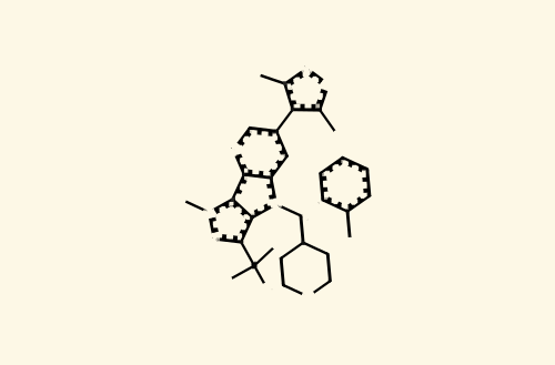 Cc1ccccc1[C@H](C1CCOCC1)n1c2cc(-c3c(C)noc3C)cnc2c2c1c(C(C)(C)O)nn2C